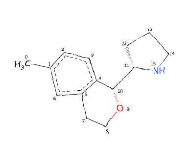 Cc1ccc2c(c1)CCO[C@H]2[C@@H]1CCCN1